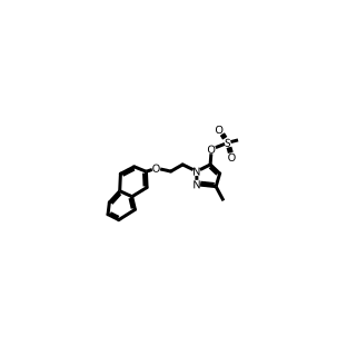 Cc1cc(OS(C)(=O)=O)n(CCOc2ccc3ccccc3c2)n1